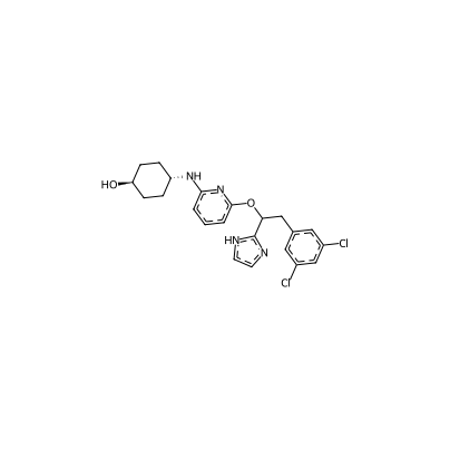 O[C@H]1CC[C@H](Nc2cccc(OC(Cc3cc(Cl)cc(Cl)c3)c3ncc[nH]3)n2)CC1